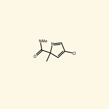 CNC(=O)C1(C)C=C(Cl)C=N1